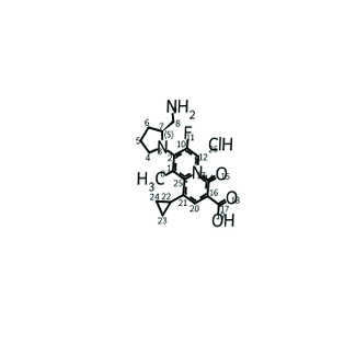 Cc1c(N2CCC[C@H]2CN)c(F)cn2c(=O)c(C(=O)O)cc(C3CC3)c12.Cl